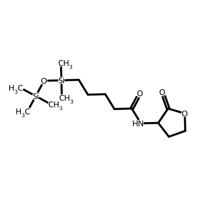 C[Si](C)(C)O[Si](C)(C)CCCCC(=O)NC1CCOC1=O